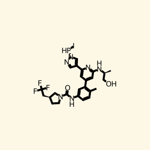 Cc1ccc(NC(=O)N2CC[C@@H](CC(F)(F)F)C2)cc1-c1cc(N[C@@H](C)CO)nc(-c2cnn(PI)c2)c1